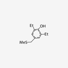 CCc1cc(CSC)cc(CC)c1O